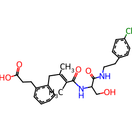 CC(Cc1ccccc1CCC(=O)O)=C(C)C(=O)NC(CO)C(=O)NCCc1ccc(Cl)cc1